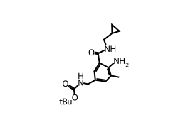 Cc1cc(CNC(=O)OC(C)(C)C)cc(C(=O)NCC2CC2)c1N